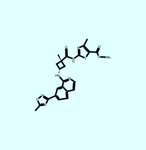 Cc1nc(-c2ccc3ccnc(N[C@H]4C[C@@](C)(C(=O)Nc5nc(C)c(C(=O)OC(C)(C)C)s5)C4)c3c2)no1